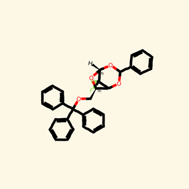 FC1(F)C2OC(c3ccccc3)O[C@H]1O[C@@H]2COC(c1ccccc1)(c1ccccc1)c1ccccc1